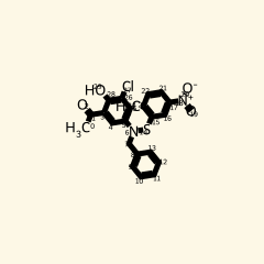 CC(=O)c1cc(N(Cc2ccccc2)Sc2cc([N+](=O)[O-])ccc2C)cc(Cl)c1O